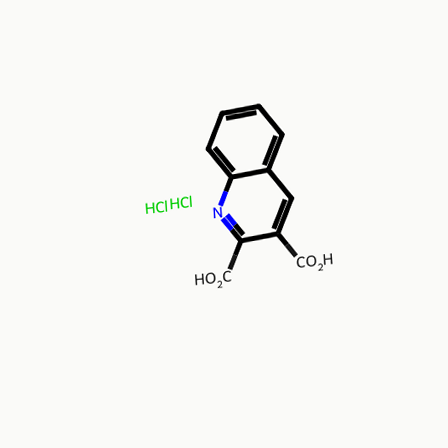 Cl.Cl.O=C(O)c1cc2ccccc2nc1C(=O)O